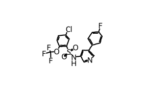 O=S(=O)(Nc1cncc(-c2ccc(F)cc2)c1)c1cc(Cl)ccc1OC(F)(F)F